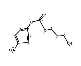 O=C(OCCCO)Oc1ccc([N+](=O)[O-])cc1